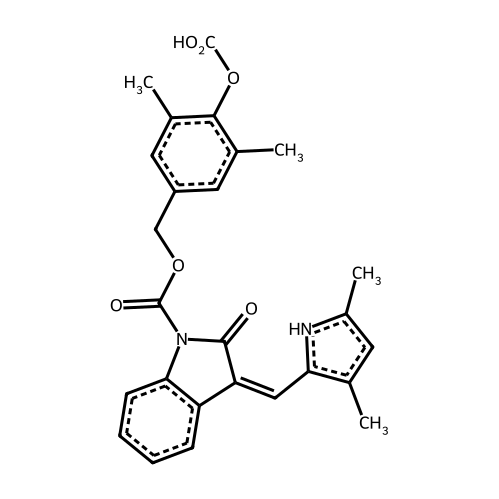 Cc1cc(C)c(/C=C2\C(=O)N(C(=O)OCc3cc(C)c(OC(=O)O)c(C)c3)c3ccccc32)[nH]1